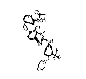 CC(=O)Nc1cc(Oc2ccc3nc(Nc4ccc(CN5CCOCC5)c(C(F)(F)F)c4)n(C)c3c2Cl)ccn1